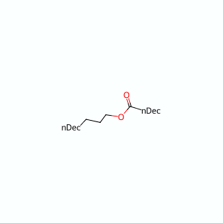 CCCCCCCCCCCCCOC(=O)CCCCCCCCCC